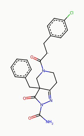 NC(=O)N1N=C2CCN(C(=O)[CH]Cc3ccc(Cl)cc3)CC2(Cc2ccccc2)C1=O